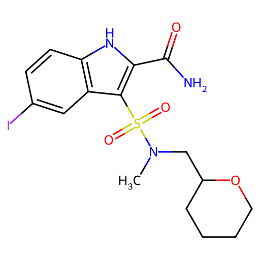 CN(CC1CCCCO1)S(=O)(=O)c1c(C(N)=O)[nH]c2ccc(I)cc12